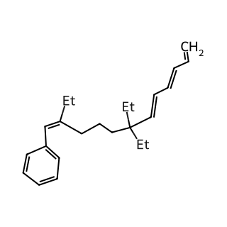 C=CC=CC=CC(CC)(CC)CCCC(=Cc1ccccc1)CC